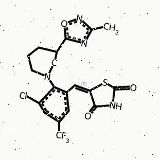 Cc1noc(C2CCCN(c3c(Cl)cc(C(F)(F)F)cc3/C=C3/SC(=O)NC3=O)C2)n1